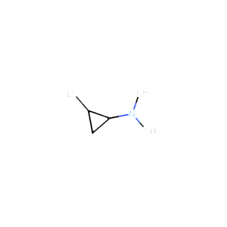 CCC1C[C]1N(C)C